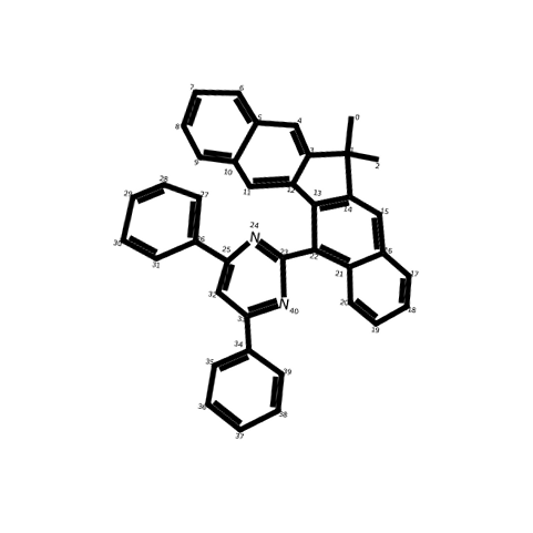 CC1(C)c2cc3ccccc3cc2-c2c1cc1ccccc1c2-c1nc(-c2ccccc2)cc(-c2ccccc2)n1